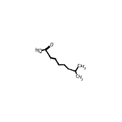 CC(C)CCCC[CH]C(=O)O